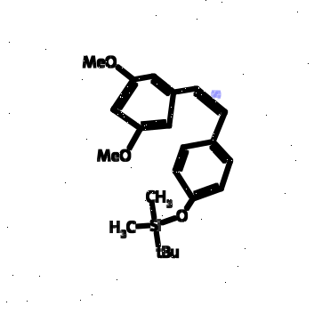 COc1cc(/C=C\c2ccc(O[Si](C)(C)C(C)(C)C)cc2)cc(OC)c1